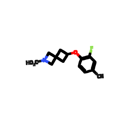 N#Cc1ccc(OC2CC3(C2)CN(C(=O)O)C3)c(F)c1